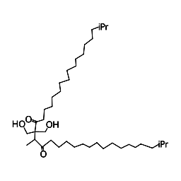 CC(C)CCCCCCCCCCCCCCC(=O)C(C)C(CO)(CO)C(=O)CCCCCCCCCCCCCCC(C)C